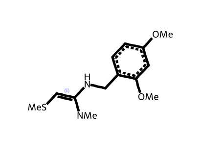 CN/C(=C\SC)NCc1ccc(OC)cc1OC